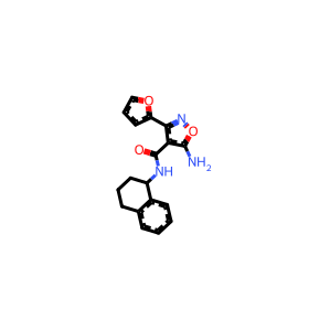 Nc1onc(-c2ccco2)c1C(=O)NC1CCCc2ccccc21